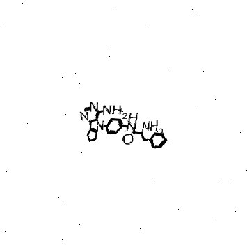 Nc1ncnc2c3c(n(-c4ccc(NC(=O)C(N)Cc5ccccc5)cc4)c12)CCC3